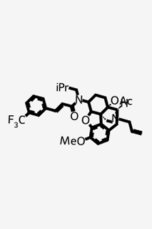 C=CCN1CC[C@]23c4c5ccc(OC)c4OC2C(N(CC(C)C)C(=O)/C=C/c2cccc(C(F)(F)F)c2)CC[C@@]3(OC(C)=O)[C@H]1C5